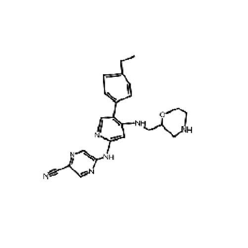 CCc1ccc(-c2cnc(Nc3cnc(C#N)cn3)cc2NCC2CNCCO2)cc1